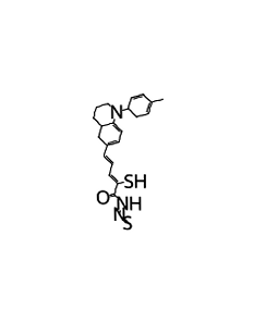 CC1=CCC(N2CCCC3CC(/C=C/C=C(\S)C(=O)NN=S)=CC=C32)C=C1